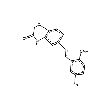 COc1ccc(C#N)cc1C=Cc1ccc2c(c1)NC(=O)CO2